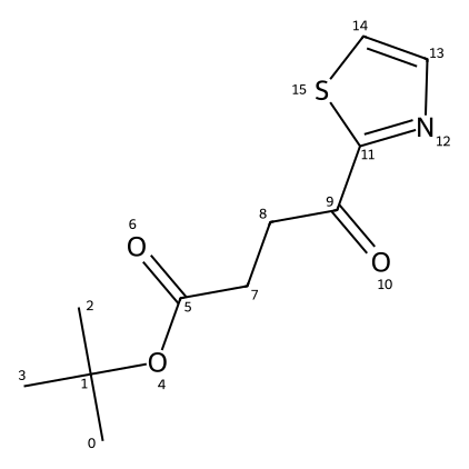 CC(C)(C)OC(=O)CCC(=O)c1nccs1